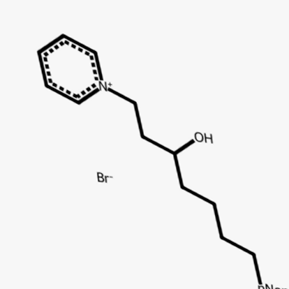 CCCCCCCCCCCCCC(O)CC[n+]1ccccc1.[Br-]